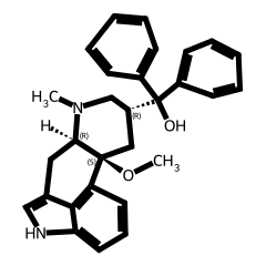 CO[C@]12C[C@@H](C(O)(c3ccccc3)c3ccccc3)CN(C)[C@@H]1Cc1c[nH]c3cccc2c13